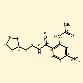 CC(C)(C)C(=O)Nc1cc([N+](=O)[O-])ccc1C(=O)NCCN1CCCC1